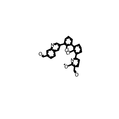 COc1nc(-c2cccc(-c3cccc(-c4cnc5cc(C=O)ccc5c4)c3Cl)c2Cl)ccc1C=O